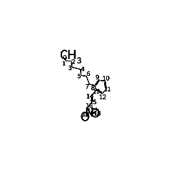 CCCCCCCCc1ccccc1C=CC[N+](=O)[O-]